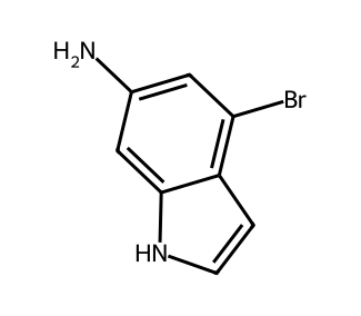 Nc1cc(Br)c2cc[nH]c2c1